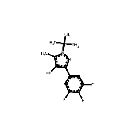 Cc1c(O)c(-c2cc(F)c(F)c(F)c2)nn1C(C)(C)C